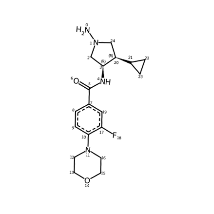 NN1C[C@H](NC(=O)c2ccc(N3CCOCC3)c(F)c2)[C@H](C2CC2)C1